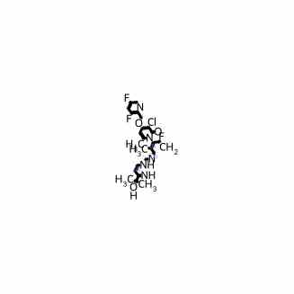 C=C(F)/C(=C(C)\C=N/CN/C=C\C(=N)C(C)(C)O)n1c(C)cc(OCc2ncc(F)cc2F)c(Cl)c1=O